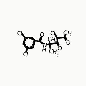 CC(C)(NC(=O)c1cc(Cl)cc(Cl)c1)C(=O)C(Cl)C(=O)O